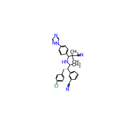 C[C@H](NC(c1ccc(-n2cncn2)cc1)C(C)(C)C#N)[C@@H](Cc1ccc(Cl)cc1)c1cccc(C#N)c1